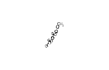 CC1CCC(c2ccc(OC(=O)c3ccc(OC(=O)OCC4CO4)cc3)cc2)CC1